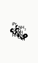 CC(C)CC[C@H](C[C@H](O)[C@H](Cc1cccs1)NC(=O)Oc1cnc2ccccc2n1)C(N)=O